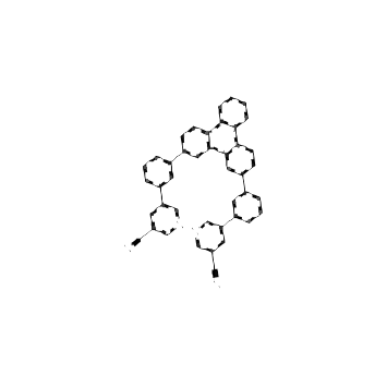 N#Cc1cncc(-c2cccc(-c3ccc4c5ccccc5c5ccc(-c6cccc(-c7cncc(C#N)c7)c6)cc5c4c3)c2)c1